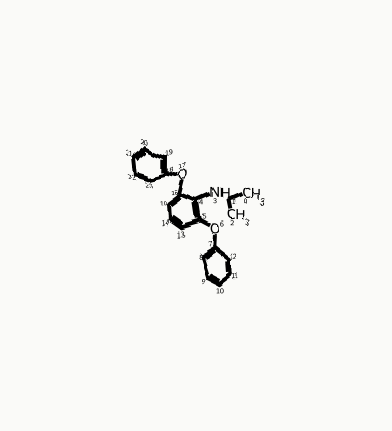 CC(C)Nc1c(Oc2ccccc2)cccc1Oc1ccccc1